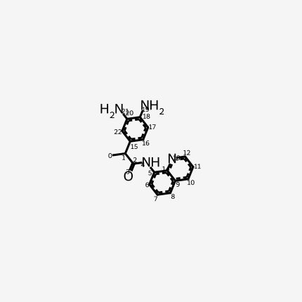 CC(C(=O)Nc1cccc2cccnc12)c1ccc(N)c(N)c1